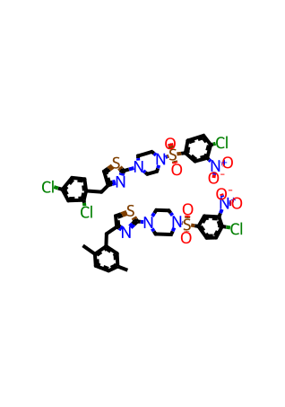 Cc1ccc(C)c(Cc2csc(N3CCN(S(=O)(=O)c4ccc(Cl)c([N+](=O)[O-])c4)CC3)n2)c1.O=[N+]([O-])c1cc(S(=O)(=O)N2CCN(c3nc(Cc4ccc(Cl)cc4Cl)cs3)CC2)ccc1Cl